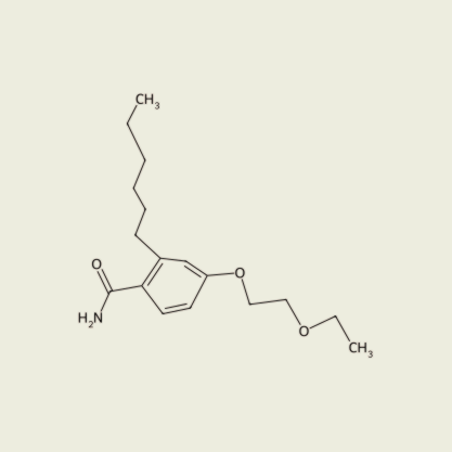 CCCCCCc1cc(OCCOCC)ccc1C(N)=O